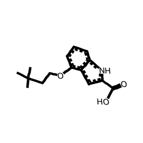 CC(C)(C)CCOc1cccc2[nH]c(C(=O)O)cc12